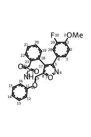 COc1ccc(-c2noc(COc3ccccc3)c2-c2ccccc2S(N)(=O)=O)cc1F